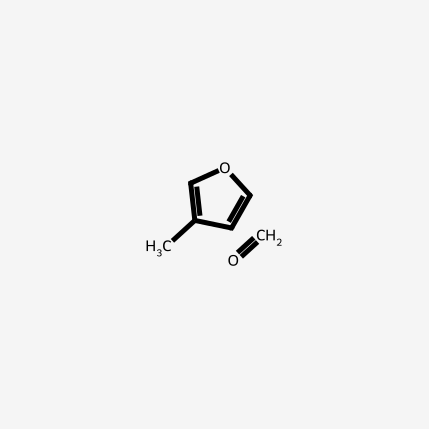 C=O.Cc1ccoc1